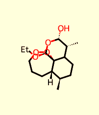 CCO[C@H]1O[C@H](O)[C@H](C)C2CC[C@@H](C)[C@@H]3CCCOO[C@]213